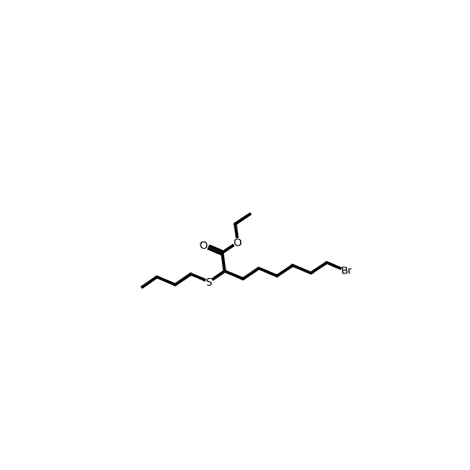 CCCCSC(CCCCCCBr)C(=O)OCC